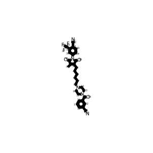 CC1=C(CCCCCCN2CCN(C(=O)c3cccc(C#N)c3)CC2)C(=O)N(c2ccc(C#N)c(C(F)(F)F)c2)C1=O